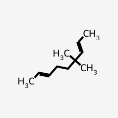 CC=CCCC(C)(C)C=CC